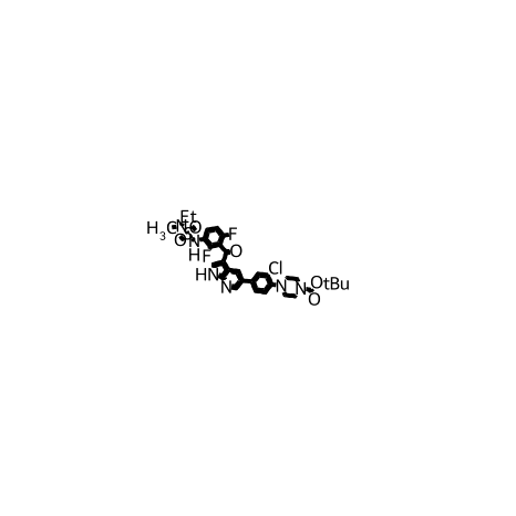 CCN(C)S(=O)(=O)Nc1ccc(F)c(C(=O)c2c[nH]c3ncc(-c4ccc(N5CCN(C(=O)OC(C)(C)C)CC5)c(Cl)c4)cc23)c1F